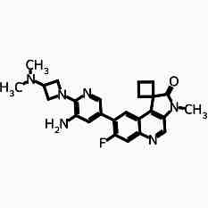 CN1C(=O)C2(CCC2)c2c1cnc1cc(F)c(-c3cnc(N4CC(N(C)C)C4)c(N)c3)cc21